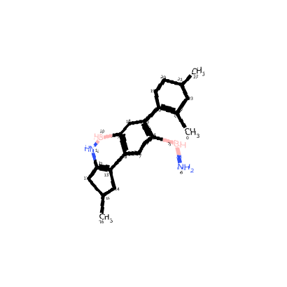 CC1=C(C2=C(BN)CC3=C(BNC4=C3CC(C)C4)C2)CCC(C)C1